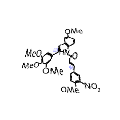 COc1ccc(NC(=O)/C=C/c2ccc(OC)c([N+](=O)[O-])c2)c(/C=C/c2cc(OC)c(OC)c(OC)c2)c1